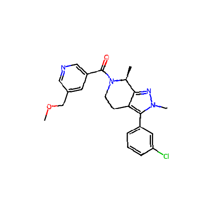 COCc1cncc(C(=O)N2CCc3c(nn(C)c3-c3cccc(Cl)c3)[C@@H]2C)c1